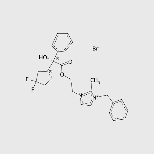 Cc1n(CCOC(=O)[C@](O)(c2ccccc2)[C@@H]2CCC(F)(F)C2)cc[n+]1Cc1ccccc1.[Br-]